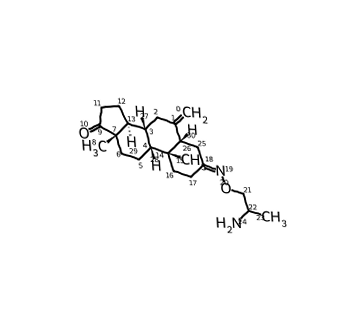 C=C1C[C@@H]2[C@@H](CC[C@]3(C)C(=O)CC[C@@H]23)[C@@]2(C)CCC(=NOCC(C)N)C[C@@H]12